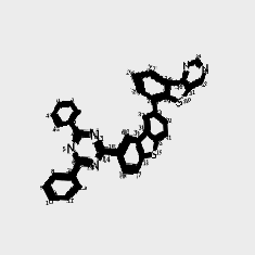 c1ccc(-c2nc(-c3ccccc3)nc(-c3ccc4sc5ccc(-c6cccc7c6sc6cncnc67)cc5c4c3)n2)cc1